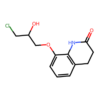 O=C1CCc2cccc(OCC(O)CCl)c2N1